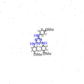 COc1ccc(Nc2nc(Nc3ccc(OC)cc3)nc(Nc3ccc(OC)cc3)n2)cc1